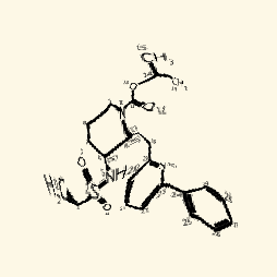 C=CS(=O)(=O)N[C@H]1CCCN(C(=O)OC(C)C)[C@H]1Cc1cccc(-c2ccccc2)n1